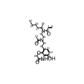 C=CC(=O)N(CCN(CCc1ccc(O)c2c1OCC(=O)N2)C(C)=O)[C@H](C)CCCC